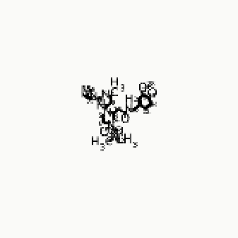 Cc1cc(N2CCN(S(=O)(=O)N(C)C)CC2CC(=O)NCc2ccc3c(c2)OCO3)nc(-n2ccnc2)n1